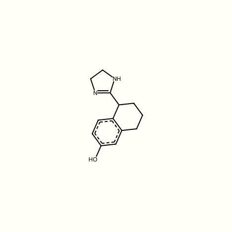 Oc1ccc2c(c1)CCCC2C1=NCCN1